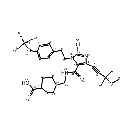 COC(C)(C)C#Cc1nc(Cl)n(CCc2ccc(OC(F)(F)F)cc2)c1C(=O)NCC1CCC(C(=O)O)CC1